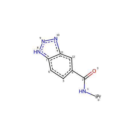 CC(C)NC(=O)c1ccc2[nH]nnc2c1